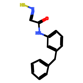 O=C(C=NS)Nc1cccc(Cc2ccccc2)c1